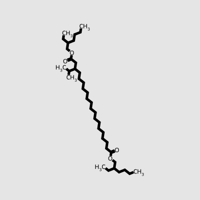 CCCCC(CC)COC(=O)CCCCCCCCCCCCCCCCC(CC(=O)OCC(CC)CCCC)C(C)C